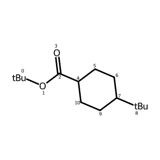 CC(C)(C)OC(=O)C1CCC(C(C)(C)C)CC1